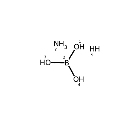 N.OB(O)O.[HH]